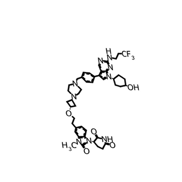 Cn1c(=O)n([C@H]2CCC(=O)NC2=O)c2ccc(CCO[C@H]3C[C@@H](N4CCN(Cc5ccc(-c6cn([C@H]7CC[C@H](O)CC7)c7nc(NCCC(F)(F)F)ncc67)cc5)CC4)C3)cc21